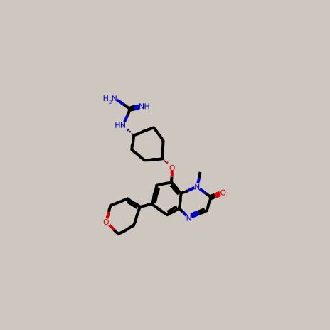 Cn1c(=O)cnc2cc(C3=CCOCC3)cc(O[C@H]3CC[C@@H](NC(=N)N)CC3)c21